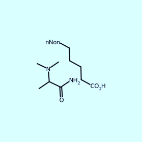 CC(C(N)=O)N(C)C.CCCCCCCCCCCCCC(=O)O